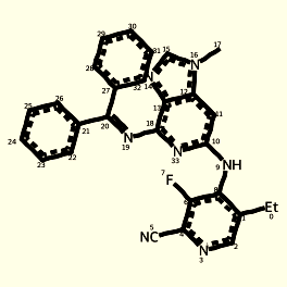 CCc1cnc(C#N)c(F)c1Nc1cc2c(ncn2C)c(N=C(c2ccccc2)c2ccccc2)n1